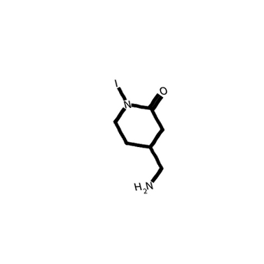 NCC1CCN(I)C(=O)C1